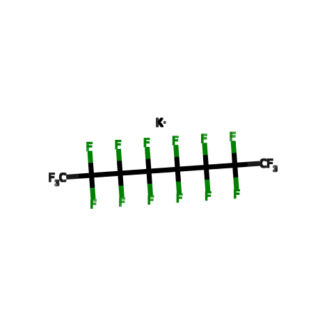 FC(F)(F)C(F)(F)C(F)(F)C(F)(F)C(F)(F)C(F)(F)C(F)(F)C(F)(F)F.[K]